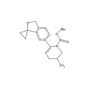 CC1CC=C(c2ccc3c(c2)C2(CC2)OC3)N(C(=O)OC(C)(C)C)C1